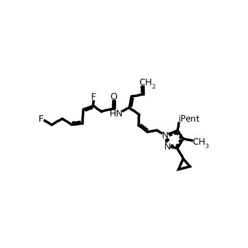 C=C/C=C(\C/C=C\Cn1nc(C2CC2)c(C)c1C(C)CCC)NC(=O)C/C(F)=C\C=C/CCF